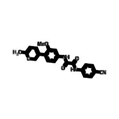 COc1cc(NC(=O)C(=O)Nc2ccc(C#N)cc2)ccc1C1=CC=C(C)OC1